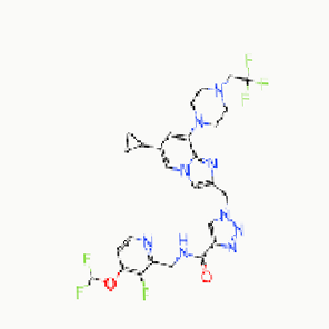 O=C(NCc1nccc(OC(F)F)c1F)c1cn(Cc2cn3cc(C4CC4)cc(N4CCN(CC(F)(F)F)CC4)c3n2)nn1